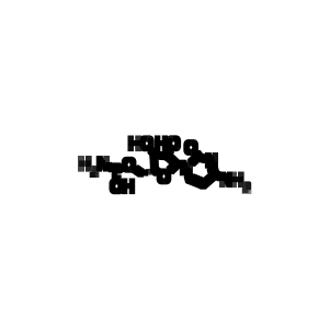 Nc1ccn([C@@H]2O[C@H](COP(N)O)[C@@H](O)[C@H]2O)c(=O)n1